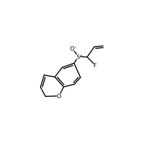 C=CC(F)[S+]([O-])c1ccc2c(c1)C=CCO2